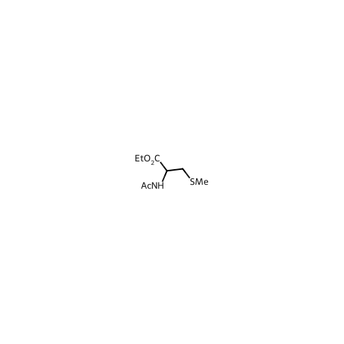 CCOC(=O)C(CSC)NC(C)=O